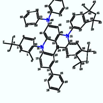 Cc1cc(C(C)(C)C)ccc1N1c2ccc(-c3ccccc3)cc2B2c3cc4c(cc3N(c3ccc5c(c3)C(C)(C)CC5(C)C)c3cc(N(c5ccccc5)c5ccccc5)cc1c32)C(C)(C)CC4(C)C